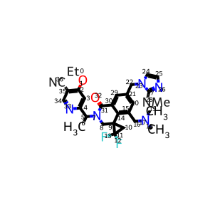 CCOc1cc(C(C)N2CC3(CC3(F)F)c3c(CN(C)C)cc(Cn4ccnc4NC)cc3C2=O)ncc1C#N